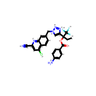 CCC(OC(=O)c1ccc(N)cc1)(c1cn(Cc2ccc3c(Cl)cc(C#N)nc3c2)nn1)C(F)(F)F